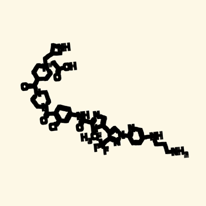 Cn1c(-c2cn(-c3ccc(NCCCN)cn3)nc2C(F)(F)F)cnc1C(=O)Nc1ccc(C(=O)N2CCN(C(=O)C3CC[N+](CC(=O)O)(CC4CNC4)CC3)CC2)c(Cl)c1